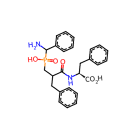 NC(c1ccccc1)P(=O)(O)CC(Cc1ccccc1)C(=O)N[C@@H](Cc1ccccc1)C(=O)O